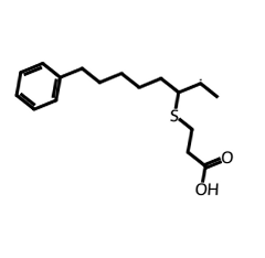 C[CH]C(CCCCCc1ccccc1)SCCC(=O)O